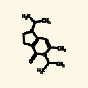 Cc1cc2c(c(=O)n1C(C)C)CCN2C(C)C